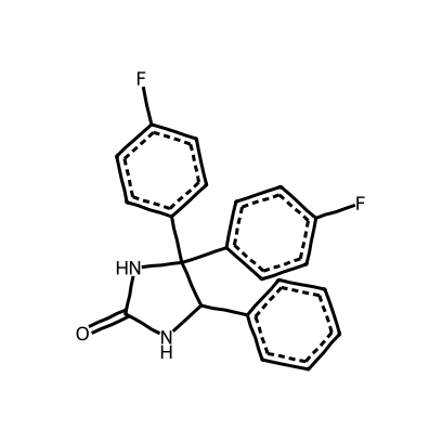 O=C1NC(c2ccccc2)C(c2ccc(F)cc2)(c2ccc(F)cc2)N1